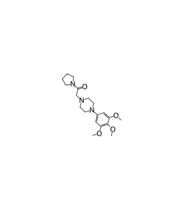 COc1cc(N2CCN(CC(=O)N3CCCC3)CC2)cc(OC)c1OC